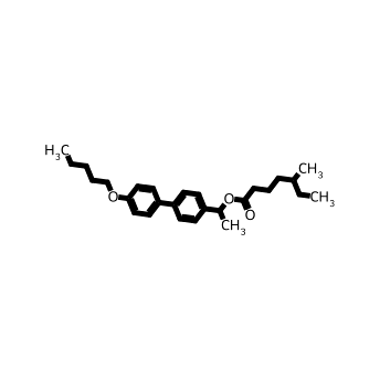 CCCCCOc1ccc(-c2ccc(C(C)OC(=O)CCCC(C)CC)cc2)cc1